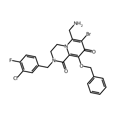 NCc1c(Br)c(=O)c(OCc2ccccc2)c2n1CCN(Cc1ccc(F)c(Cl)c1)C2=O